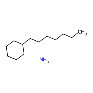 CCCCCCCC1CCCCC1.N